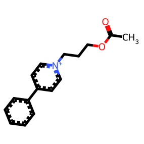 CC(=O)OCCC[n+]1ccc(-c2ccccc2)cc1